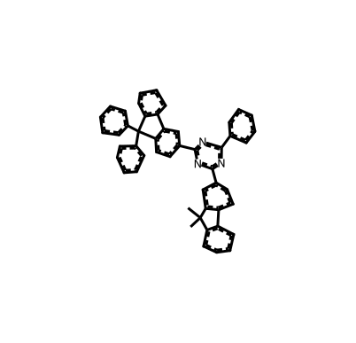 CC1(C)c2ccccc2-c2ccc(-c3nc(-c4ccccc4)nc(-c4ccc5c(c4)-c4ccccc4C5(c4ccccc4)c4ccccc4)n3)cc21